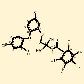 CC(C#N)(COc1cc(Cl)ccc1Oc1ccc(Cl)cc1Cl)NC(=S)c1c(F)c(F)c(F)c(F)c1F